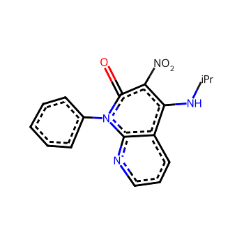 CC(C)Nc1c([N+](=O)[O-])c(=O)n(-c2ccccc2)c2ncccc12